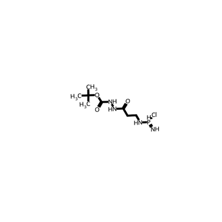 CC(C)(C)OC(=O)NNC(=O)CCN[PH](=N)Cl